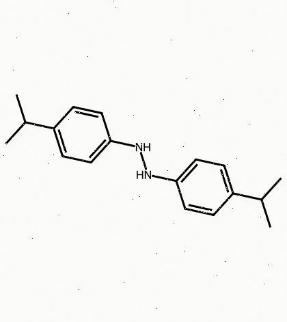 CC(C)c1ccc(NNc2ccc(C(C)C)cc2)cc1